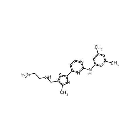 Cc1cc(C)cc(Nc2nccc(-c3nc(C)c(CNCCN)s3)n2)c1